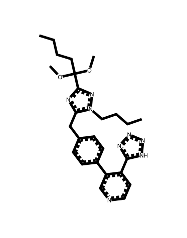 CCCCn1nc(C(CCCC)(OC)OC)nc1Cc1ccc(-c2cnccc2-c2nnn[nH]2)cc1